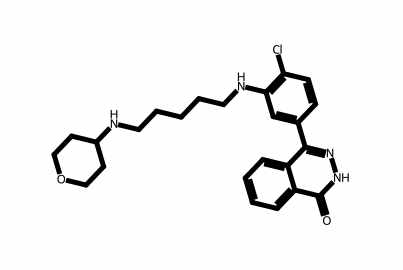 O=c1[nH]nc(-c2ccc(Cl)c(NCCCCCNC3CCOCC3)c2)c2ccccc12